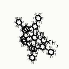 Cc1ccc(-c2c(C#N)c(-n3c4ccccc4c4cc(-c5ccccc5)ccc43)c(-n3c4ccccc4c4cc(-c5ccccc5)ccc43)c(-n3c4ccccc4c4cc(-c5ccccc5)ccc43)c2-n2c3ccccc3c3cc(-c4ccccc4)ccc32)c(C)n1